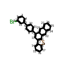 Brc1cccc(-c2ccc(-c3cc4c5ccccc5sc4c4cc5ccccc5cc34)cc2)c1